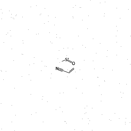 C=CC#N.C[S+]=O